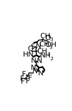 CC(C)(Cc1csc(C2(C)C(=O)Nc3nc(-c4nn(CCC(F)(F)C(F)(F)F)c5ncccc45)nc(N)c32)n1)C(=O)O